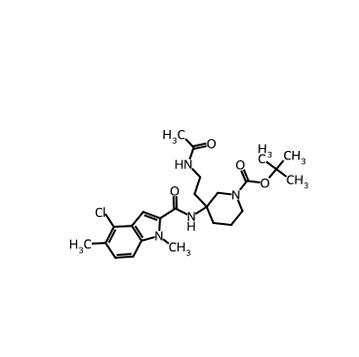 CC(=O)NCCC1(NC(=O)c2cc3c(Cl)c(C)ccc3n2C)CCCN(C(=O)OC(C)(C)C)C1